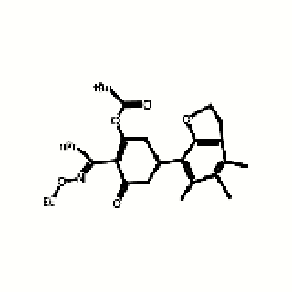 CCCC(=NOCC)C1=C(OC(=O)C(C)(C)C)CC(c2c(C)c(C)c(C)c3c2OCC3)CC1=O